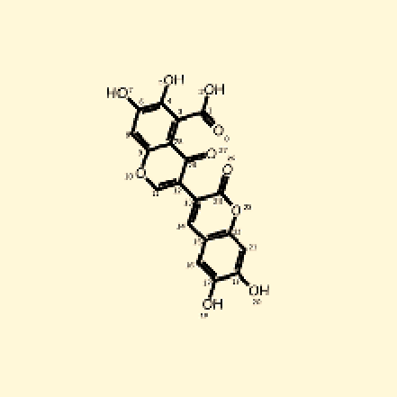 O=C(O)c1c(O)c(O)cc2occ(-c3cc4cc(O)c(O)cc4oc3=O)c(=O)c12